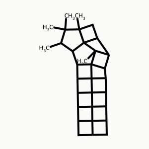 CC1C2C3C4C5C6C7CC8CC9C%10C%11C%12C%13C%14C%15CC(C)(C1(C)C)C%152C%14(C)C%133C%124C%115C%106C897